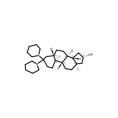 C[C@]12CC[C@H]3[C@@H](CC[C@H]4CC(N5CCCCC5)(N5CCCCC5)CC[C@@]43C)[C@@H]1C[C@H](O)C2